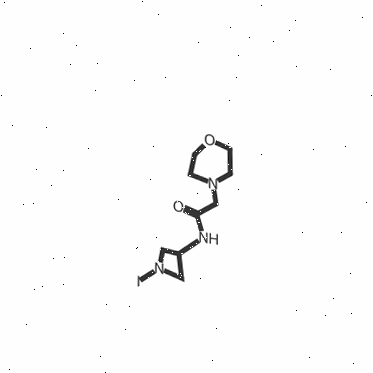 O=C(CN1CCOCC1)NC1CN(I)C1